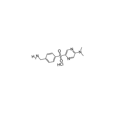 CN(C)c1cnc(S(=O)(=O)c2ccc(CN)cc2)cn1.Cl